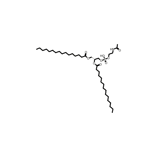 CCCCCCCCCCCCCCCC(=O)OC[C@H](COP(=O)(O)OCCNC(C)=O)OC(=O)CCCCCCCCCCCCCCC